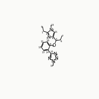 CCc1nc(C(CC)Oc2ccccc2-c2nnn(C)n2)cn1C